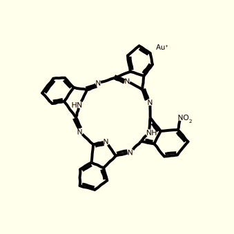 O=[N+]([O-])c1cccc2c3nc4nc(nc5[nH]c(nc6nc(nc([nH]3)c12)-c1ccccc1-6)c1ccccc51)-c1ccccc1-4.[Au+]